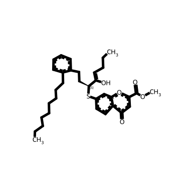 CCCC=C(O)[C@H](CCc1ccccc1CCCCCCCCC)Sc1ccc2c(=O)cc(C(=O)OC)oc2c1